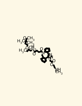 CCC(C)(CNC(=O)CCC(=O)N1Cc2ccccc2-c2c(nnn2CC(=O)OCCNC)-c2ccccc21)OCCC(C)(C)C(C)=O